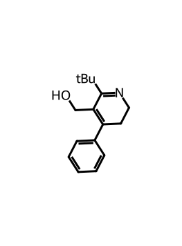 CC(C)(C)C1=NCCC(c2ccccc2)=C1CO